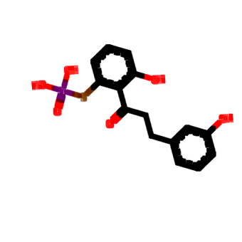 O=C(CCc1cccc(O)c1)c1c(O)cccc1SP(=O)(O)O